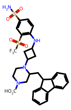 NS(=O)(=O)c1ccc(NC2CC(N3CCN(C(=O)O)CC3CC3c4ccccc4-c4ccccc43)C2)c(S(=O)(=O)C(F)(F)F)c1